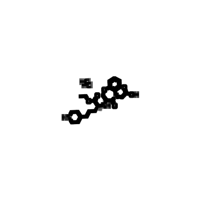 CCOC(=O)[C@H](CCCC1CCNCC1)N[C@H]1COc2ccccc2N(CC(=O)O)C1=O.Cl.Cl